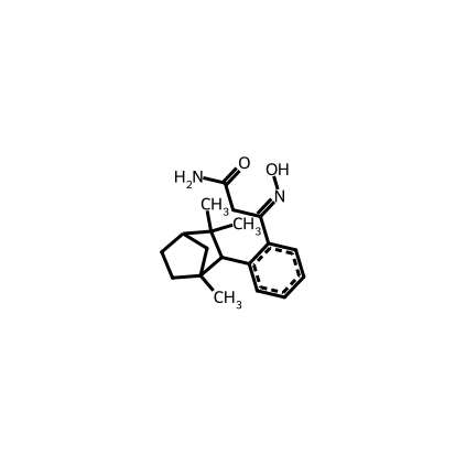 CC12CCC(C1)C(C)(C)C2c1ccccc1C(CC(N)=O)=NO